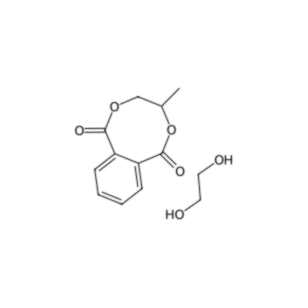 CC1COC(=O)c2ccccc2C(=O)O1.OCCO